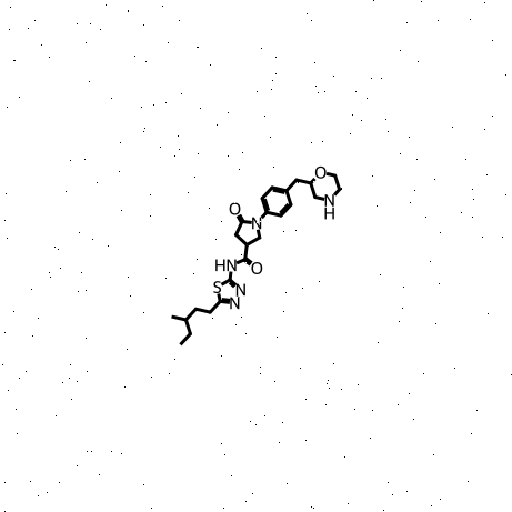 CCC(C)CCc1nnc(NC(=O)C2CC(=O)N(c3ccc(CC4CNCCO4)cc3)C2)s1